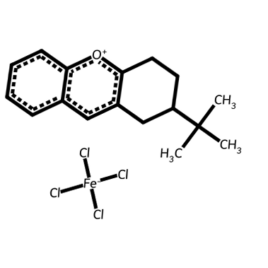 CC(C)(C)C1CCc2[o+]c3ccccc3cc2C1.[Cl][Fe-]([Cl])([Cl])[Cl]